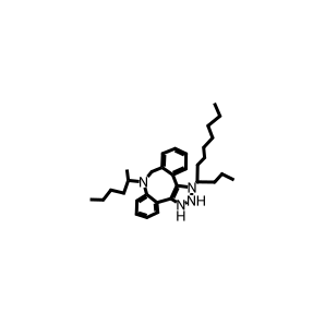 CCCCCCCC(CCC)N1NNC2=C1c1ccccc1CN(C(C)CCCC)c1ccccc12